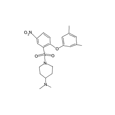 Cc1cc(C)cc(Oc2ccc([N+](=O)[O-])cc2S(=O)(=O)N2CCC(N(C)C)CC2)c1